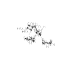 N#CC1CC(F)(F)CN1C(=O)CNC(=O)c1ccnc2ccc(OCCCCNC(=O)CC[C@H](NC(=O)CC[C@H](NC(=O)CN3CCN(CC(=O)O)CCN(CC(=O)O)CCN(CC(=O)O)CC3)C(=O)O)C(=O)NCCCCOc3ccc4nccc(C(=O)NCC(=O)N5CC(F)(F)CC5C#N)c4c3)cc12